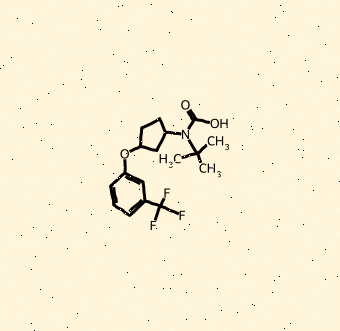 CC(C)(C)N(C(=O)O)C1CCC(Oc2cccc(C(F)(F)F)c2)C1